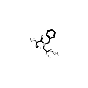 CO[C@H](C)CN(Cc1ccccc1)C(=O)[C@H](C)N